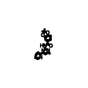 Cc1cc(-c2ccccn2)nc(NC(=O)c2ccc3c(c2)OC(C)(C)O3)n1